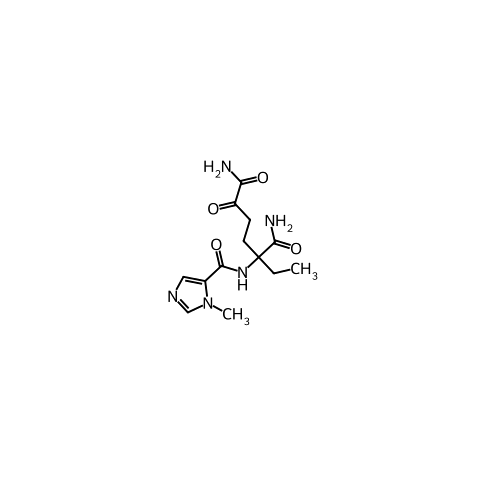 CCC(CCC(=O)C(N)=O)(NC(=O)c1cncn1C)C(N)=O